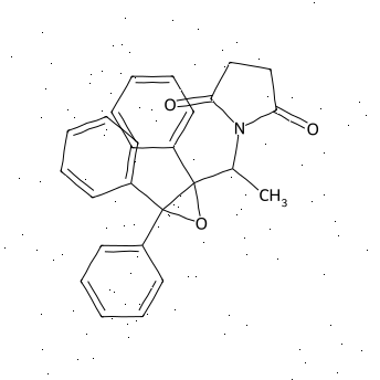 CC(N1C(=O)CCC1=O)C1(c2ccccc2)OC1(c1ccccc1)c1ccccc1